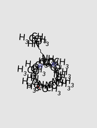 C/C=C(\C)[C@H]1OC(=O)[C@@H](C)NC(=O)[C@H]([C@H](C)CC)NC(=O)CN(C)C(=O)[C@@H](Cc2ccccc2)N(C)C(=O)[C@H](C)NC(=O)[C@@H](CC(C)C)OC(=O)/C(C)=C/C[C@H](OC(=O)NCCCCCCNC(=O)OC(C)(C)C)[C@@H]1C